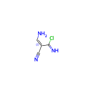 N#C/C(=C/N)C(=N)Cl